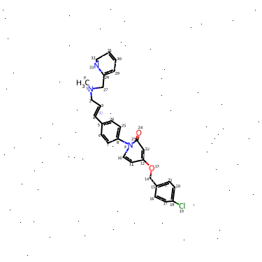 CN(C/C=C/c1ccc(-n2ccc(OCc3ccc(Cl)cc3)cc2=O)cc1)Cc1ccccn1